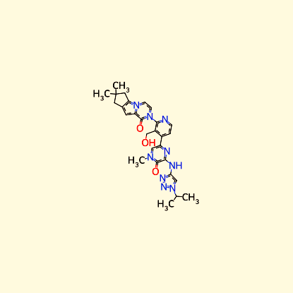 CC(C)n1cc(Nc2nc(-c3ccnc(-n4ccn5c6c(cc5c4=O)CC(C)(C)C6)c3CO)cn(C)c2=O)nn1